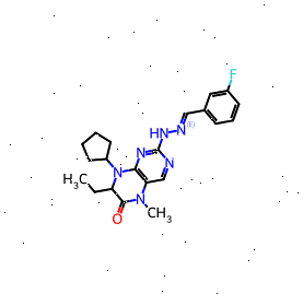 CCC1C(=O)N(C)c2cnc(N/N=C/c3cccc(F)c3)nc2N1C1CCCC1